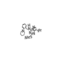 CSc1nc(NCc2ccccc2N2CCCCC2)n2ncc(C(C)C)c2n1